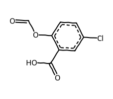 O=COc1ccc(Cl)cc1C(=O)O